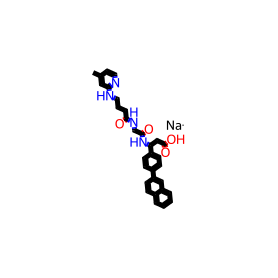 Cc1ccnc(NCCCC(=O)NCC(=O)NC(CC(=O)O)c2ccc(-c3ccc4ccccc4c3)cc2)c1.[Na]